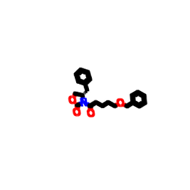 O=C(CCCCOCc1ccccc1)N1C(=O)OC[C@@H]1Cc1ccccc1